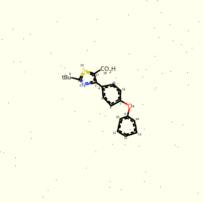 CC(C)(C)c1nc(-c2ccc(Oc3ccccc3)cc2)c(C(=O)O)s1